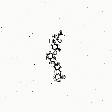 O=C(Nc1ccc(Oc2ccnc3cc(-c4ccc(CN5CCCOC5=O)cn4)sc23)c(F)c1)NC1CC1